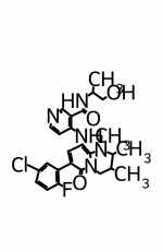 CC(CO)NC(=O)c1cnccc1Nc1cc(-c2cc(Cl)ccc2F)c(=O)n2c1N(C)C(C)C(C)C2